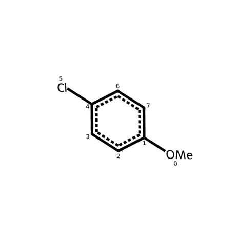 COc1[c]cc(Cl)cc1